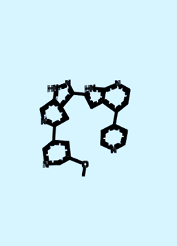 COc1cncc(-c2cc3c(-c4cc5c(-c6ccncc6)ccnc5[nH]4)n[nH]c3cn2)c1